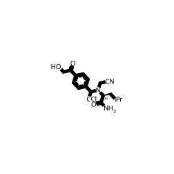 CC(C)C[C@@H](C(N)=O)N(CC#N)C(c1ccc(C(=O)CO)cc1)C(Cl)(Cl)Cl